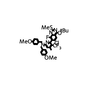 COc1ccc(CN(Cc2ccc(OC)cc2)c2cc(C)c(C(F)(F)F)c(-c3c(Cl)cc4c(OC(C)(C)C)nc(SC)nc4c3F)n2)cc1